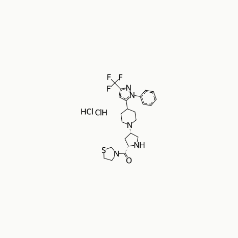 Cl.Cl.O=C([C@@H]1C[C@H](N2CCC(c3cc(C(F)(F)F)nn3-c3ccccc3)CC2)CN1)N1CCSC1